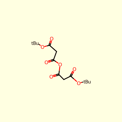 CC(C)(C)OC(=O)CC(=O)OC(=O)CC(=O)OC(C)(C)C